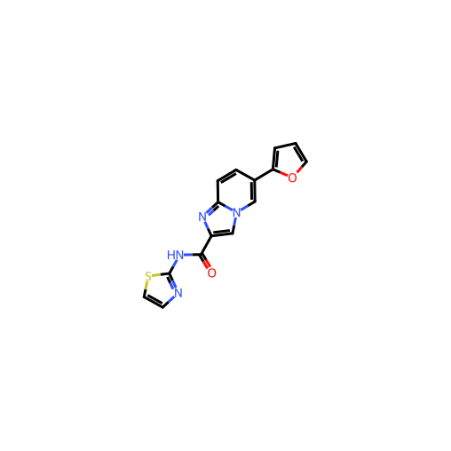 O=C(Nc1nccs1)c1cn2cc(-c3ccco3)ccc2n1